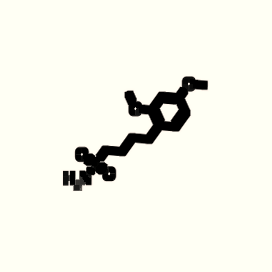 COc1ccc(CCCCS(N)(=O)=O)c(OC)c1